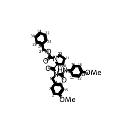 COc1ccc(CN(C(=O)Nc2ccc(OC)cc2)C(=O)[C@@H]2CCCN2C(=O)OCc2ccccc2)cc1